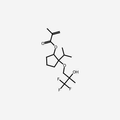 C=C(C)C(=O)OC1CCCC1(OCC(C)(O)C(F)(F)F)C(C)C